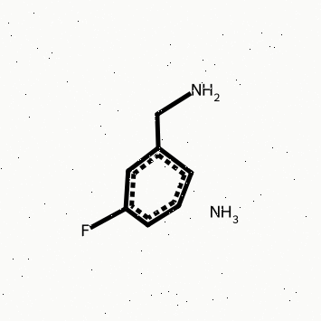 N.NCc1cccc(F)c1